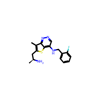 Cc1c(C[C@H](C)N)sc2c(NCc3ccccc3F)cnnc12